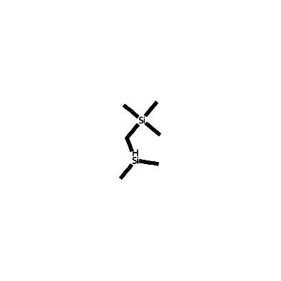 C[SiH](C)C[Si](C)(C)C